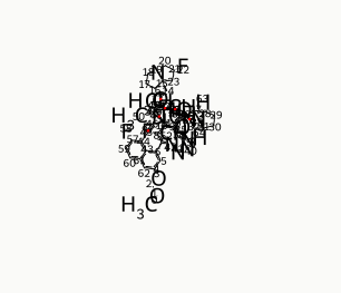 COCOc1cc(-c2c(F)c3nc(OC[C@@]45CCCN4C[C@H](F)C5)nc(N4C[C@H]5CC[C@@H](C4)N5C(=O)O)c3c3nnnn23)c2c(C#C[Si](C(C)C)(C(C)C)C(C)C)c(F)ccc2c1